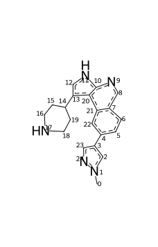 Cn1cc(-c2ccc3cnc4[nH]cc(C5CCNCC5)c4c3c2)cn1